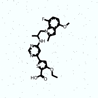 CCOc1cc(-c2cc(NC(C)Cn3c(C)cc4c(OC)ccc(F)c43)ncn2)sc1C(=O)O